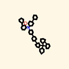 c1ccc(-c2ccc(N(c3ccc(-c4ccc(-c5cccc(C6(c7ccccc7)c7ccccc7-c7ccccc76)c5)cc4)cc3)c3cccc4c3oc3ccccc34)cc2)cc1